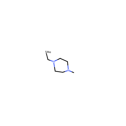 CSCN1CCN(C)CC1